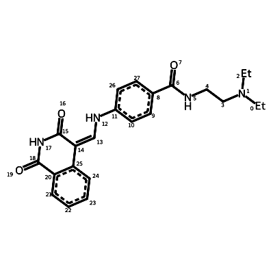 CCN(CC)CCNC(=O)c1ccc(NC=C2C(=O)NC(=O)c3ccccc32)cc1